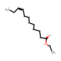 CC/C=C\CCCCCCCC(=O)OCC